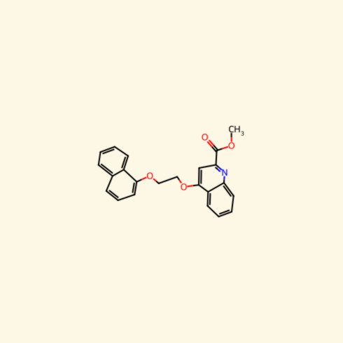 COC(=O)c1cc(OCCOc2cccc3ccccc23)c2ccccc2n1